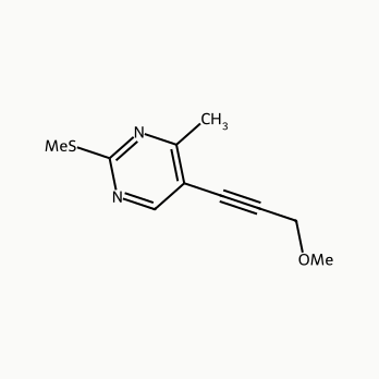 COCC#Cc1cnc(SC)nc1C